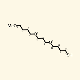 COCCCCOCCCOCCCCO